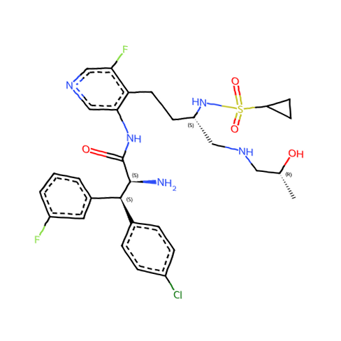 C[C@@H](O)CNC[C@H](CCc1c(F)cncc1NC(=O)[C@@H](N)[C@@H](c1ccc(Cl)cc1)c1cccc(F)c1)NS(=O)(=O)C1CC1